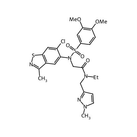 CCN(Cc1ccn(C)n1)C(=O)CN(c1cc2c(C)nsc2cc1Cl)S(=O)(=O)c1ccc(OC)c(OC)c1